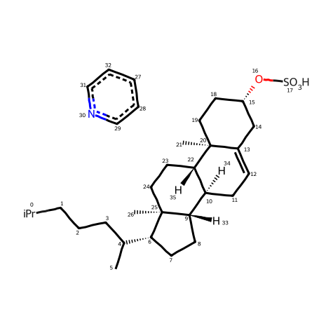 CC(C)CCCC(C)[C@H]1CC[C@H]2[C@@H]3CC=C4C[C@@H](OS(=O)(=O)O)CC[C@]4(C)[C@H]3CC[C@]12C.c1ccncc1